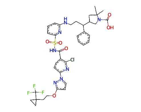 CC1(C)CC(C(CCNc2cccc(S(=O)(=O)NC(=O)c3ccc(-n4ccc(OCCC5(C(F)(F)F)CC5)n4)nc3Cl)n2)c2ccccc2)CN1C(=O)O